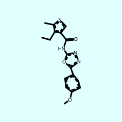 CCc1c(C(=O)Nc2nnc(-c3ccc(OC)cc3)o2)csc1C